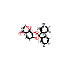 O=c1ccoc2c3c(ccc12)OC(c1ccccc1)(c1ccccc1)O3